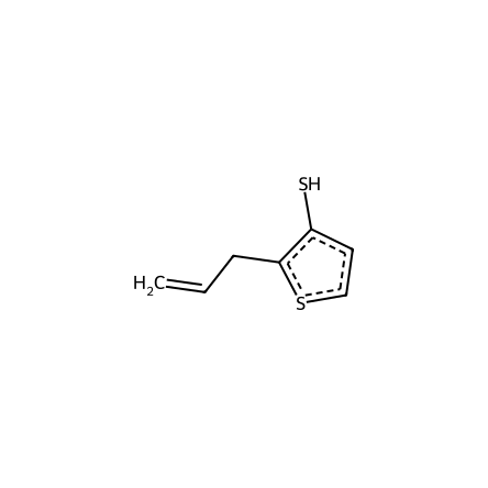 C=CCc1sccc1S